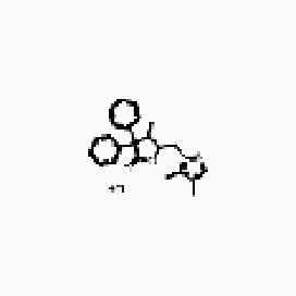 Cc1cnn(CC2OC(=O)C(c3ccccc3)(c3ccccc3)C2C)c1C.Cl